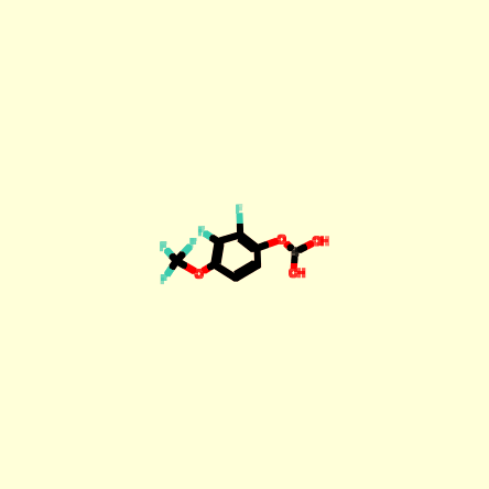 OB(O)Oc1ccc(OC(F)(F)F)c(F)c1F